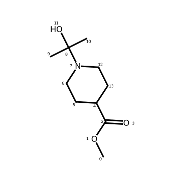 COC(=O)C1CCN(C(C)(C)O)CC1